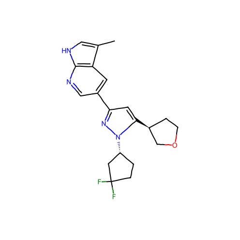 Cc1c[nH]c2ncc(-c3cc([C@H]4CCOC4)n([C@@H]4CCC(F)(F)C4)n3)cc12